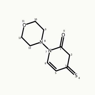 O=C1CC(=S)C=CN1N1CCOCC1